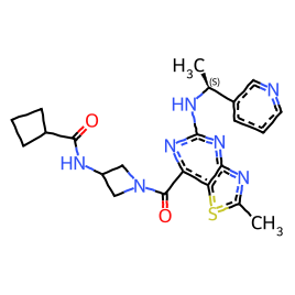 Cc1nc2nc(N[C@@H](C)c3cccnc3)nc(C(=O)N3CC(NC(=O)C4CCC4)C3)c2s1